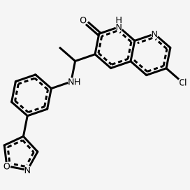 CC(Nc1cccc(-c2cnoc2)c1)c1cc2cc(Cl)cnc2[nH]c1=O